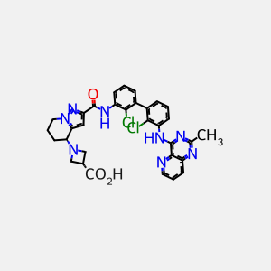 Cc1nc(Nc2cccc(-c3cccc(NC(=O)c4cc5n(n4)CCC[C@@H]5N4CC(C(=O)O)C4)c3Cl)c2Cl)c2ncccc2n1